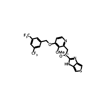 COc1c(OCc2cc(C(F)(F)F)cc(C(F)(F)F)c2)ccnc1C[S+]([O-])c1nc2cscc2[nH]1